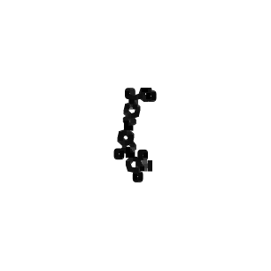 O=C1CCC(N2Cc3cc(N4CC5(CCN(C(=O)c6ccoc6)CC5)C4)ccc3C2=O)C(=O)N1